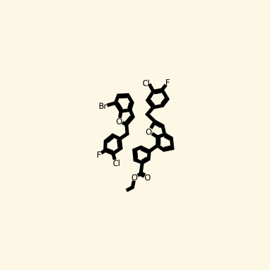 CCOC(=O)c1cccc(-c2cccc3cc(Cc4ccc(F)c(Cl)c4)oc23)c1.Fc1ccc(Cc2cc3cccc(Br)c3o2)cc1Cl